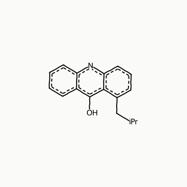 CC(C)Cc1cccc2nc3ccccc3c(O)c12